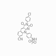 CS(=O)(=O)Nc1ccc(-n2c3nc(=O)n(-c4ccc(Cl)cc4)c(=O)c-3cc3ccc(C#N)cc32)cc1